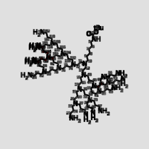 CC(C)(C)OC(=O)NCCCCCCN(CCN(CCCN(CCCN(CCCN)CCCN)CCCN(CCCN)CCCN)CCCN(CCCN(CCCN)CCCN)CCCN(CCCN)CCCN)CCN(CCCN(CCCN(CCCN)CCCN)CCCN(CCCN)CCCN)CCCN(CCCN(CCCN)CCCN)CCCN(CCCN)CCCN